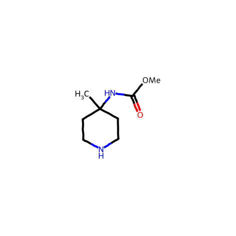 COC(=O)NC1(C)CCNCC1